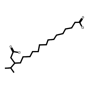 CC(C)C(CCCCCCCCCCCCCCC(=O)Cl)CC(=O)Cl